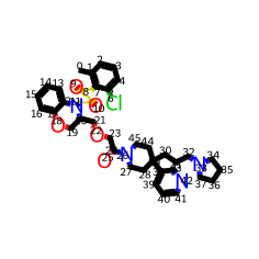 Cc1cccc(Cl)c1S(=O)(=O)N1c2ccccc2OCC1COCC(=O)N1CCC(CCCN2CCCC2)(c2cccnc2)CC1